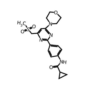 CS(=O)(=O)Cc1cc(N2CCOCC2)nc(-c2ccc(NC(=O)C3CC3)cc2)n1